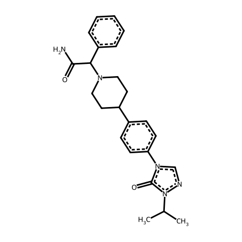 CC(C)n1ncn(-c2ccc(C3CCN(C(C(N)=O)c4ccccc4)CC3)cc2)c1=O